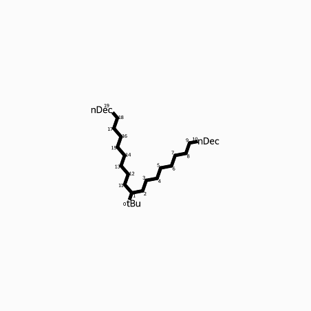 [CH2]C([CH2])([CH2])[C](CCCCCCCCCCCCCCCCCC)CCCCCCCCCCCCCCCCCC